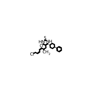 C=C(/C=C\C=C/CCl)Cc1c(=O)[nH]c(=S)[nH]c1[C@H]1CC[C@H](c2ccccc2)CC1